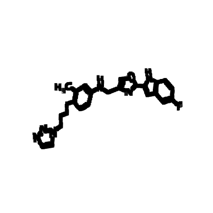 Cc1cc(NCc2coc(-c3cc4cc(F)ccc4[nH]3)n2)ccc1CCCCn1ccnn1